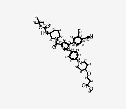 COC(=O)CCOC1CCN(c2ccc(-n3nc(C(=O)N4CCC[C@@H](NC(=O)OC(C)(C)C)C4)cc3-c3ccc(C#N)c(F)c3)cc2)CC1